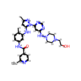 Cc1cc(Nc2cc(NC(=O)c3ccnc(C(C)(C)C)c3)ccc2C)n(-c2cc(NN3CCN(CCO)CC3)ncn2)n1